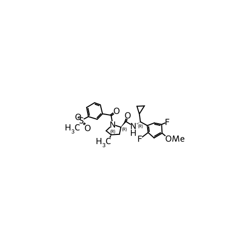 COc1cc(F)c([C@H](NC(=O)[C@H]2C[C@@H](C)CN2C(=O)c2cccc(S(C)(=O)=O)c2)C2CC2)cc1F